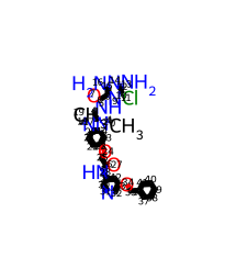 CCn1c(CNC(=O)c2nc(Cl)c(N)nc2N)[n+](CC)c2ccc(OCC(=O)Nc3cncc(OCc4ccccc4)c3)cc21